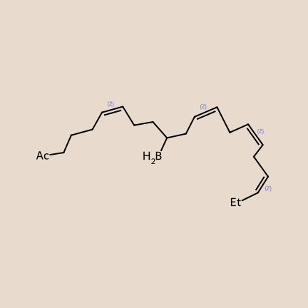 BC(C/C=C\C/C=C\C/C=C\CC)CC/C=C\CCCC(C)=O